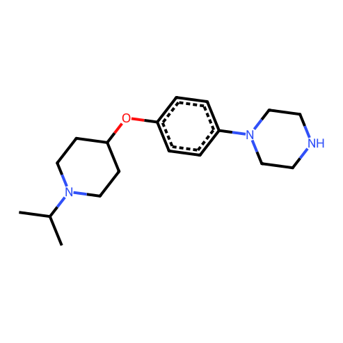 CC(C)N1CCC(Oc2ccc(N3CCNCC3)cc2)CC1